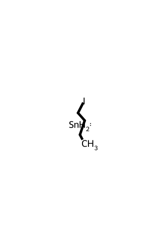 CCCCI.[SnH2]